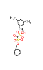 Cc1cc(C)cc(C)c1.O=C(S(=O)(=O)O)S(=O)(=O)OCc1ccccc1